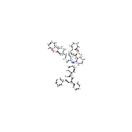 c1ccc(-c2cc(-c3ccccc3)cc(-c3ccc(N(c4ccc(-c5ccc6c(c5)oc5ccccc56)cc4)c4cccc5oc6c7ccccc7ccc6c45)cc3)c2)cc1